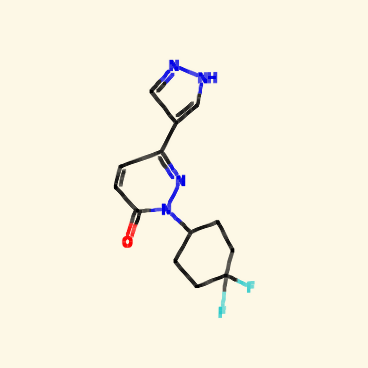 O=c1ccc(-c2cn[nH]c2)nn1C1CCC(F)(F)CC1